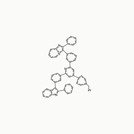 CC(C)Cc1ccc(-c2cc(-c3cccc(-c4c(-c5ccccc5)nc5ccccn45)c3)nc(-c3cccc(-c4c(-c5ccccc5)nc5ccccn45)c3)c2)cc1